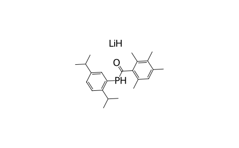 Cc1cc(C)c(C(=O)Pc2cc(C(C)C)ccc2C(C)C)c(C)c1C.[LiH]